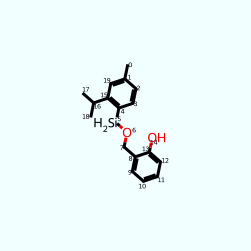 Cc1ccc([SiH2]OCc2ccccc2O)c(C(C)C)c1